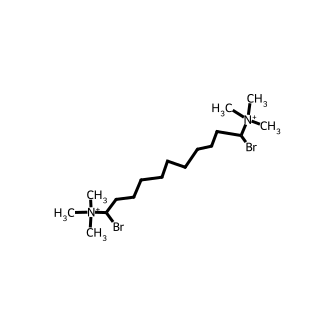 C[N+](C)(C)C(Br)CCCCCCCCCC(Br)[N+](C)(C)C